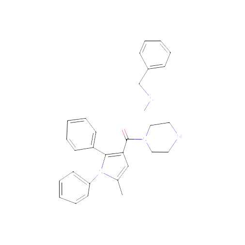 Cc1cc(C(=O)N2CCNC[C@H]2CNCc2ccccc2)c(-c2ccccc2)n1-c1ccccc1